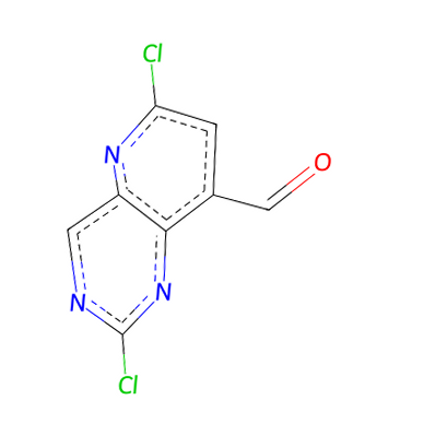 O=Cc1cc(Cl)nc2cnc(Cl)nc12